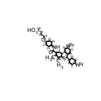 CCCc1ccc(C(Sc2ccc(C(=O)Nc3ccc(OCCCC(=O)O)cc3)c(C)c2C)c2ccc(CCC)cc2)cc1